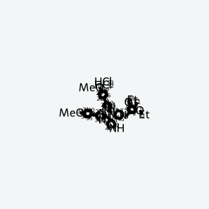 CCOc1cc(CN2CCC(N(c3ncc(-c4ccc(OC)cc4)cn3)N(c3ncc(-c4ccc(OC)cc4)cn3)C3CCNCC3)CC2)cc(OCC)c1F.Cl.Cl